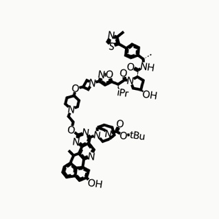 Cc1ncsc1-c1ccc([C@H](C)NC(=O)[C@@H]2C[C@@H](O)CN2C(=O)[C@@H](c2cc(N3CC(OC4CCN(CCOc5nc(N6CC7CCCC6CN7C(=O)OC(C)(C)C)c6cnc7c(c6n5)C(C)c5cccc6cc(O)cc-7c56)CC4)C3)no2)C(C)C)cc1